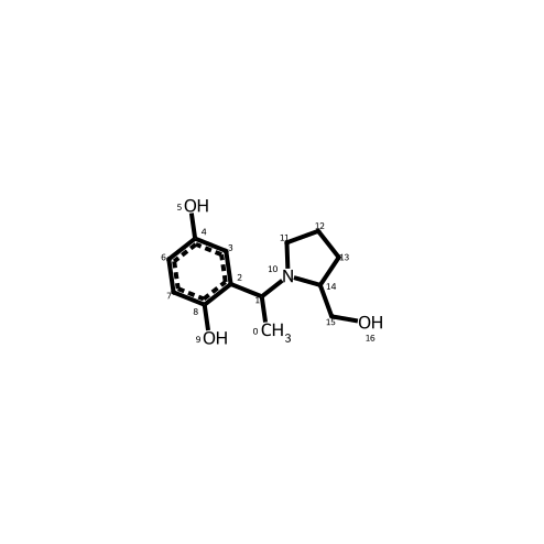 CC(c1cc(O)ccc1O)N1CCCC1CO